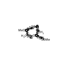 COc1cc(OCc2nc(N3CC4CCC(COc5nn6cc(-c7cc8c(OCc9nc(N%10CCOCC%10)sc9C)cc(OC)cc8o7)nc6s5)(C3)O4)sc2C)c2cc(-c3cn4nc(OC)sc4n3)oc2c1